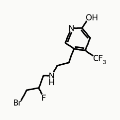 Oc1cc(C(F)(F)F)c(CCNCC(F)CBr)cn1